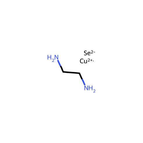 NCCN.[Cu+2].[Se-2]